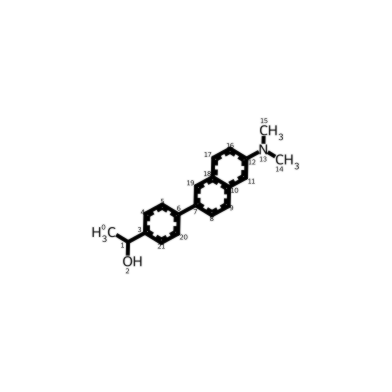 CC(O)c1ccc(-c2ccc3cc(N(C)C)ccc3c2)cc1